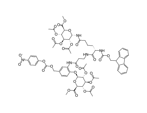 COC(=O)[C@H]1O[C@H](NC(=O)CCC[C@H](NC(=O)OCC2c3ccccc3-c3ccccc32)C(=O)NCCC(=O)Nc2cc(COC(=O)Oc3ccc([N+](=O)[O-])cc3)ccc2O[C@@H]2O[C@H](C(=O)OC)[C@@H](OC(C)=O)[C@H](OC(C)=O)[C@H]2OC(C)=O)[C@H](OC(C)=O)[C@@H](OC(C)=O)[C@@H]1OC(C)=O